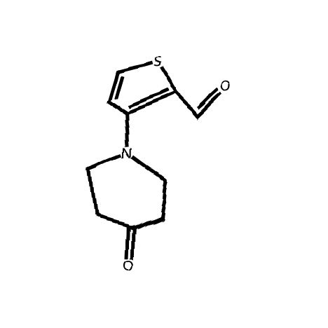 O=Cc1sccc1N1CCC(=O)CC1